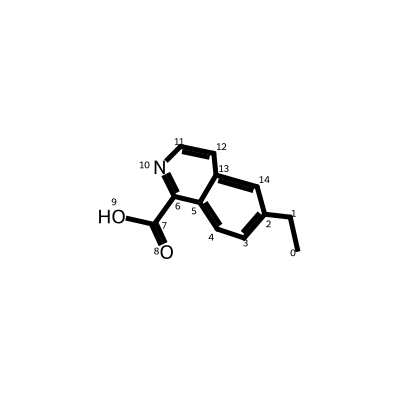 CCc1ccc2c(C(=O)O)nccc2c1